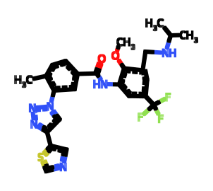 COc1c(CNC(C)C)cc(C(F)(F)F)cc1NC(=O)c1ccc(C)c(-n2cc(-c3cncs3)nn2)c1